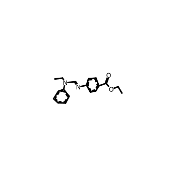 CCOC(=O)c1ccc(N=CN(CC)c2ccccc2)cc1